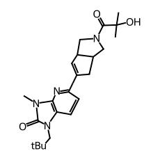 Cn1c(=O)n(CC(C)(C)C)c2ccc(C3=CC4CN(C(=O)C(C)(C)O)CC4C3)nc21